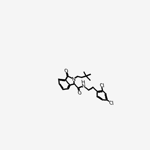 CC(C)(C)CCN1C(=O)c2ccccc2C1C(=O)NCCc1ccc(Cl)cc1Cl